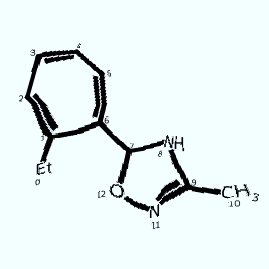 CCc1ccccc1C1NC(C)=NO1